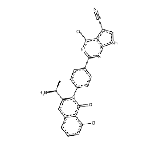 C[C@H](N)c1cc2cccc(Cl)c2c(=O)n1-c1ccc(-c2nc(Cl)c3c(C#N)c[nH]c3n2)cc1